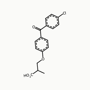 CC(COc1ccc(C(=O)c2ccc(Cl)cc2)cc1)C(=O)O